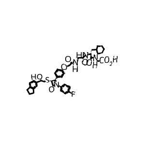 O=C(O)CNC(=O)[C@@H](CC1CCCCC1)NC(=O)CNC(=O)COc1ccc([C@@H]2[C@@H](SCC(O)c3ccc4c(c3)CCC4)C(=O)N2c2ccc(F)cc2)cc1